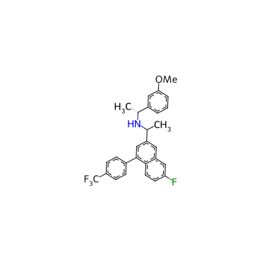 COc1cccc([C@@H](C)NC(C)c2cc(-c3ccc(C(F)(F)F)cc3)c3ccc(F)cc3c2)c1